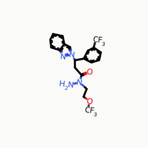 NN(CCOC(F)(F)F)C(=O)CC(c1cccc(C(F)(F)F)c1)n1cc2ccccc2n1